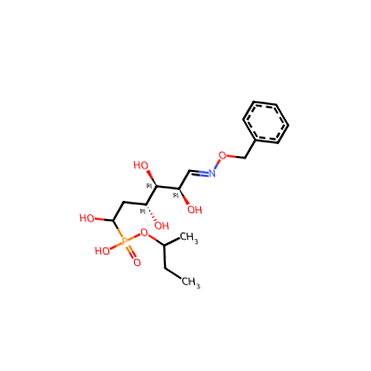 CCC(C)OP(=O)(O)C(O)C[C@@H](O)[C@@H](O)[C@H](O)C=NOCc1ccccc1